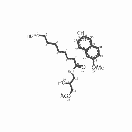 C.CCCCCCCCCCCCCCCCCC(=O)OCC(O)COC(C)=O.COc1ccc2ccccc2c1